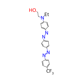 CCN(CCO)c1ccc(N=Nc2ccc(N=Nc3ccc(C(F)(F)F)cc3)cc2)cc1